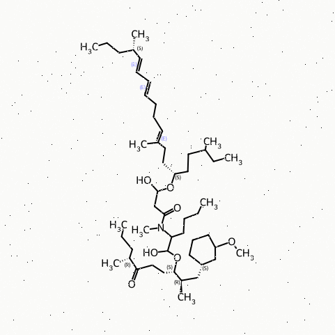 CCCCC(C(O)O[C@@H](CCC(=O)[C@H](C)CCC)[C@H](C)C[C@@H]1CCCC(OC)C1)N(C)C(=O)CC(O)O[C@H](CC/C(C)=C/CC/C=C/C=C/[C@@H](C)CCC)CCC(C)CC